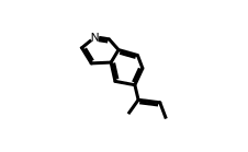 C/C=C(\C)c1ccc2cnccc2c1